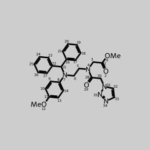 COC(=O)CN(CCN(c1ccc(OC)cc1)C(c1ccccc1)c1ccccc1)C(=O)Cn1ccnn1